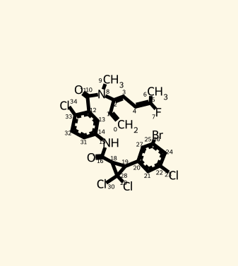 C=C/C(=C\C=C(/C)F)N(C)C(=O)c1cc(NC(=O)C2C(c3cc(Cl)cc(Br)c3)C2(Cl)Cl)ccc1Cl